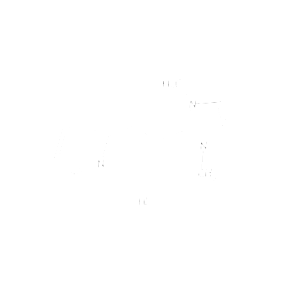 CN1C=CN(C)C1C=Cc1ccccn1.I